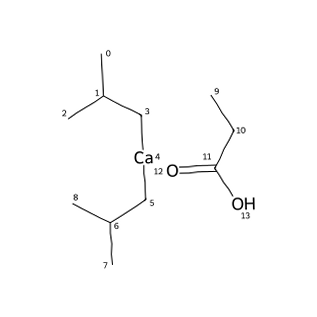 CC(C)[CH2][Ca][CH2]C(C)C.CCC(=O)O